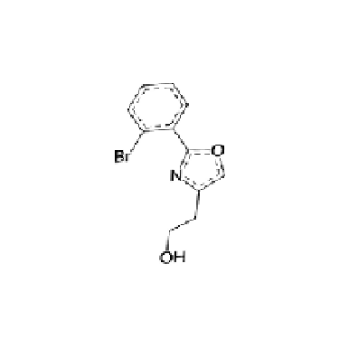 OCCc1coc(-c2ccccc2Br)n1